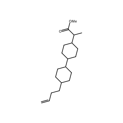 C=CCCC1CCC(C2CCC(C(C)C(=O)OC)CC2)CC1